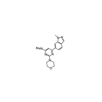 CNc1cc(-c2ccc3cnn(C)c3c2)nc(N2CCOCC2)n1